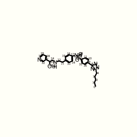 CCCCCn1nnc(-c2ccc(S(=O)(=O)Nc3ccc(CCNCC(O)c4cccnc4)cc3)cc2)n1